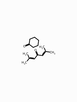 CC(C)=CC(=O)C=C(C)C.O=C1CCCCC1